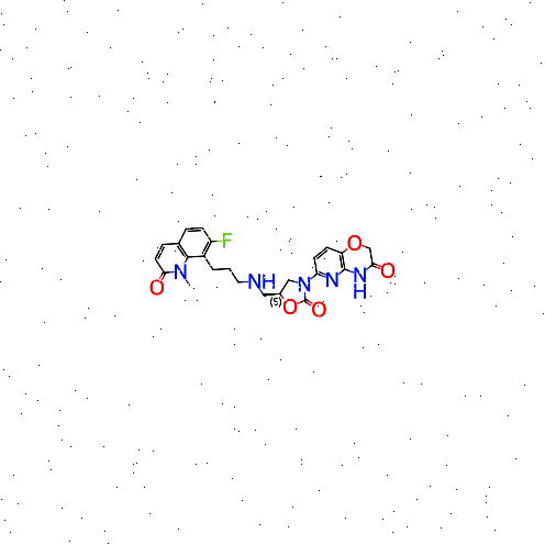 Cn1c(=O)ccc2ccc(F)c(CCCNC[C@H]3CN(c4ccc5c(n4)NC(=O)CO5)C(=O)O3)c21